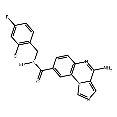 CCN(Cc1ccc(F)cc1Cl)C(=O)c1ccc2nc(N)c3cncn3c2c1